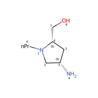 CCCN1C[C@@H](N)C[C@H]1CO